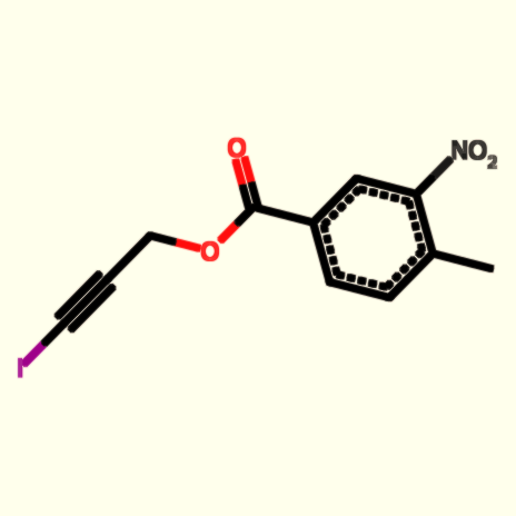 Cc1ccc(C(=O)OCC#CI)cc1[N+](=O)[O-]